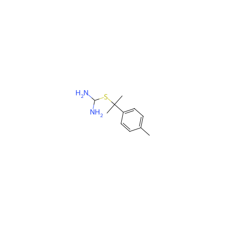 Cc1ccc(C(C)(C)SC(N)N)cc1